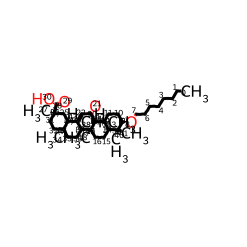 CCCCCCCCO[C@H]1CC[C@@]2(C)C(CC[C@]3(C)[C@@H]2C(=O)C=C2[C@H]4C[C@@](C)(C(=O)O)CC[C@]4(C)CC[C@]23C)C1(C)C